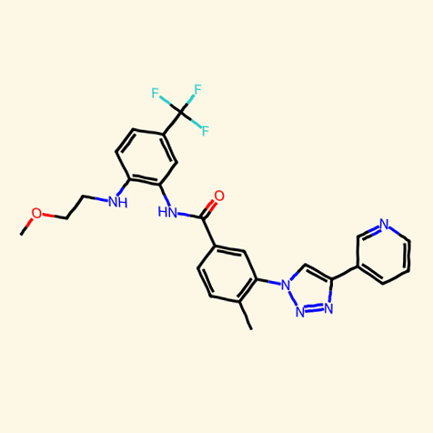 COCCNc1ccc(C(F)(F)F)cc1NC(=O)c1ccc(C)c(-n2cc(-c3cccnc3)nn2)c1